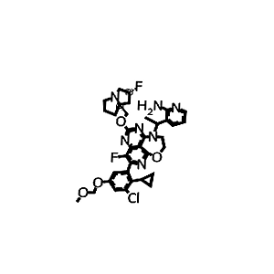 COCOc1cc(Cl)c(C2CC2)c(-c2nc3c4c(nc(OC[C@@]56CCCN5C[C@H](F)C6)nc4c2F)N(C(C)c2cccnc2N)CCO3)c1